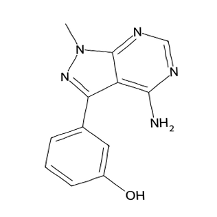 Cn1nc(-c2cccc(O)c2)c2c(N)ncnc21